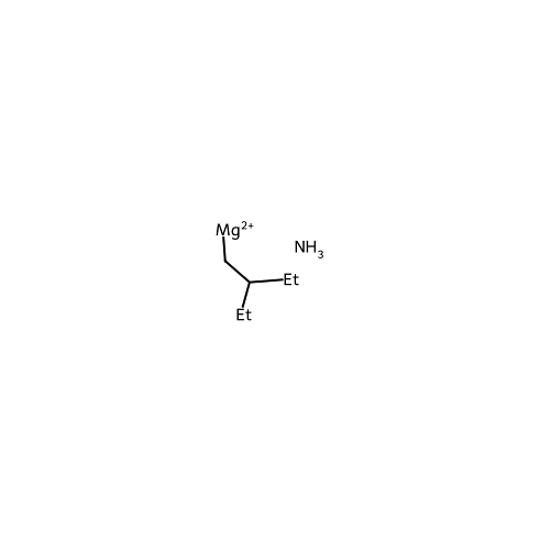 CCC(CC)[CH2][Mg+2].N